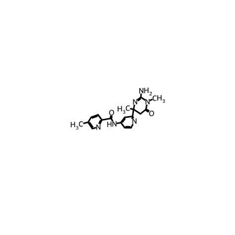 Cc1ccc(C(=O)Nc2ccnc(C3(C)CC(=O)N(C)C(N)=N3)c2)nc1